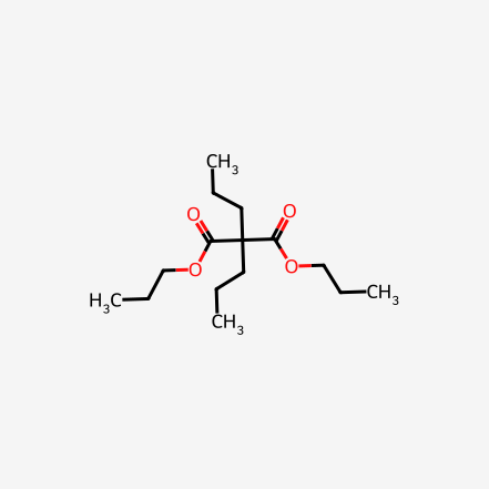 CCCOC(=O)C(CCC)(CCC)C(=O)OCCC